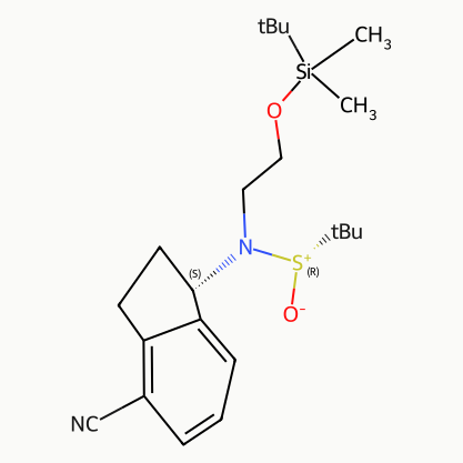 [CH2]C(C)(C)[S@+]([O-])N(CCO[Si](C)(C)C(C)(C)C)[C@H]1CCc2c(C#N)cccc21